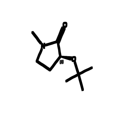 CN1CC[C@H](OC(C)(C)C)C1=O